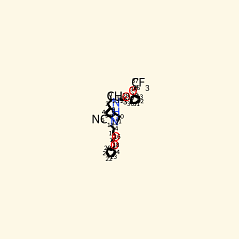 C[C@H](Cc1cc(C#N)c2c(c1)CCN2CCCOCOc1ccccc1)NCCOc1ccccc1OCC(F)(F)F